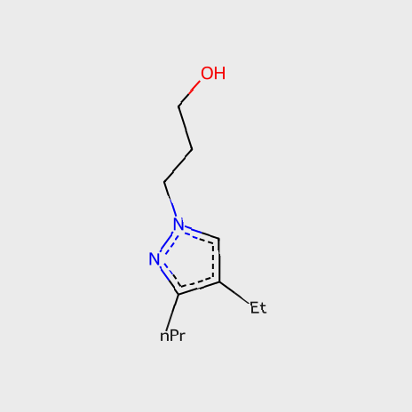 [CH2]Cc1cn(CCCO)nc1CCC